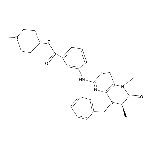 C[C@@H]1C(=O)N(C)c2ccc(Nc3cccc(C(=O)NC4CCN(C)CC4)c3)nc2N1Cc1ccccc1